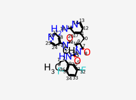 CC[C@@H](NC(=O)N1C(=O)[C@H](Cc2ccnc(N)c2)[C@H]1C(=O)N(C)c1ccncc1)c1cc(F)ccc1F